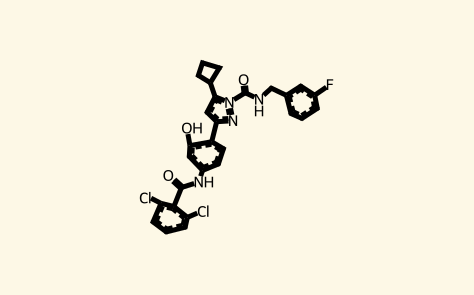 O=C(Nc1ccc(-c2cc(C3CCC3)n(C(=O)NCc3cccc(F)c3)n2)c(O)c1)c1c(Cl)cccc1Cl